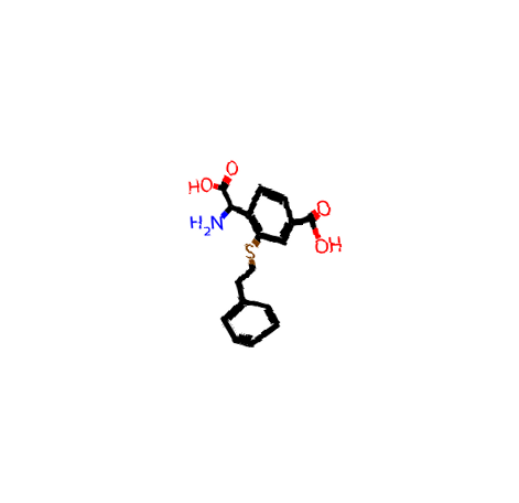 NC(C(=O)O)c1ccc(C(=O)O)cc1SCCc1ccccc1